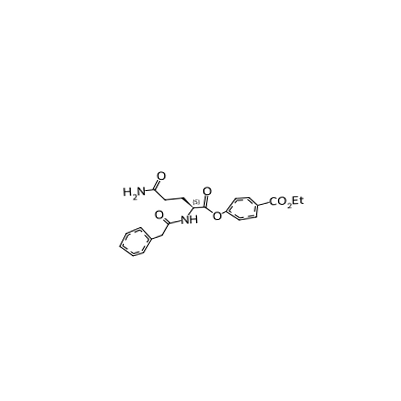 CCOC(=O)c1ccc(OC(=O)[C@H](CCC(N)=O)NC(=O)Cc2ccccc2)cc1